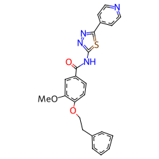 COc1cc(C(=O)Nc2nnc(-c3ccncc3)s2)ccc1OCCc1ccccc1